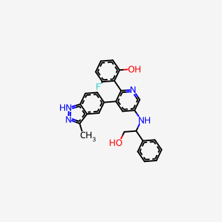 Cc1n[nH]c2ccc(-c3cc(NC(CO)c4ccccc4)cnc3-c3c(O)cccc3F)cc12